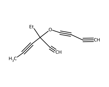 C#CC#COC(C#C)(C#CC)CC